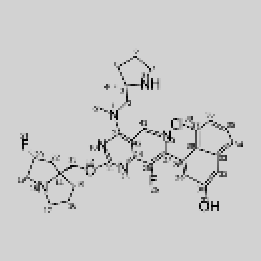 CN(C[C@@]1(C)CCCN1)c1nc(OC[C@@]23CCCN2C[C@H](F)C3)nc2c(F)c(-c3cc(O)cc4cccc(Cl)c34)ncc12